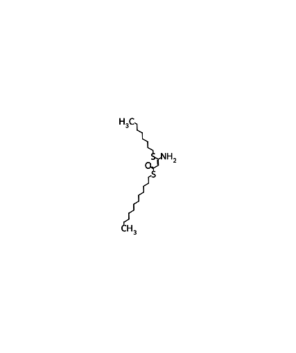 CCCCCCCCCCCCSC(=O)C=C(N)SCCCCCCCC